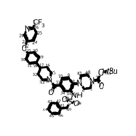 CC(C)(C)OC(=O)N1CCN(c2ccc(C(=O)N3CCC(c4ccc(Oc5ccc(C(F)(F)F)nc5)cc4)CC3)cc2NS(=O)(=O)Cc2ccccc2)CC1